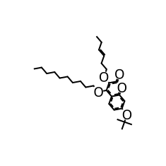 CCC=CCCOc1c(OCCCCCCCCCC)c2ccc(OC(C)(C)C)cc2oc1=O